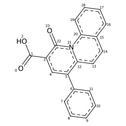 O=C(O)c1cc(-c2ccccc2)c2ccc3ccccc3n2c1=O